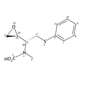 CN(C(=O)O)[C@@H](CSc1ccccc1)[C@H]1CO1